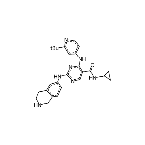 CC(C)(C)c1cc(Nc2nc(Nc3ccc4c(c3)CCNC4)ncc2C(=O)NC2CC2)ccn1